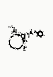 CC(=O)C(=O)[C@@H]1CCCCCCCCCC[C@H](NC(=O)OC(C)(C)C)C(=O)N2C[C@H](CNC(=O)OCc3ccccc3)C[C@H]2C(=O)N1